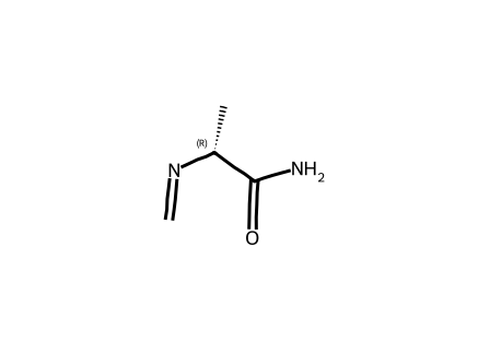 C=N[C@H](C)C(N)=O